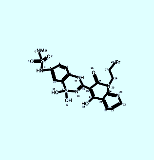 CNS(=O)(=O)Nc1ccc2c(c1)S(O)(O)N=C(c1c(O)c3cccnc3n(CCC(C)C)c1=O)N2